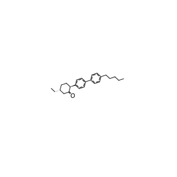 CCCCCc1ccc(-c2ccc([C@@H]3CC[C@@H](CC)CC3=O)cc2)cc1